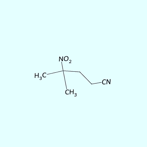 CC(C)(CCC#N)[N+](=O)[O-]